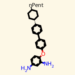 CCCCC[C@H]1CC[C@H](c2ccc(-c3ccc(Oc4ccc(N)cc4N)cc3)cc2)CC1